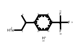 CC(C[TeH])c1ccc(C(F)(F)F)cc1.[H+]